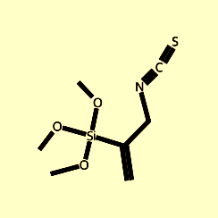 C=C(CN=C=S)[Si](OC)(OC)OC